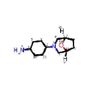 NC1CCC(N2C[C@H]3CC[C@H](C2)O3)CC1